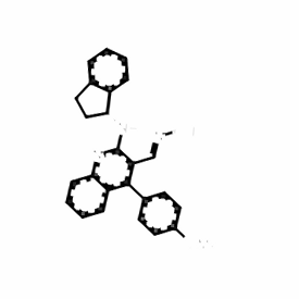 COc1ccc(-c2c(C=NO)c(N[C@@H]3CCc4ccccc43)nc3ccccc23)cc1